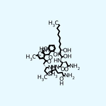 CCCCCCCCC[C@@H](O)CC(O)N[C@@H](CC(N)=O)C(=O)NC(CCC(N)O)C(=O)N[C@@H](CC(=O)c1cc(C)cc(O)c1C(=O)c1c(O)cccc1O)CC(C)C